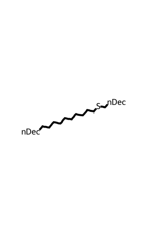 CCCCCCCCCCCCCCCCCCC[CH]SCCCCCCCCCCC